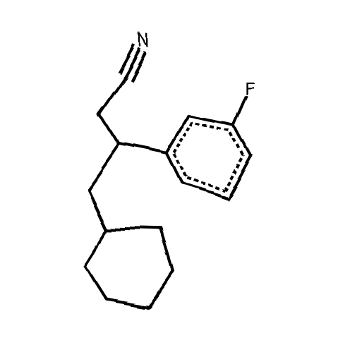 N#CCC(CC1CCCCC1)c1cccc(F)c1